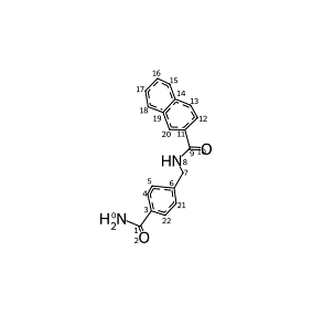 NC(=O)c1ccc(CNC(=O)c2ccc3ccccc3c2)cc1